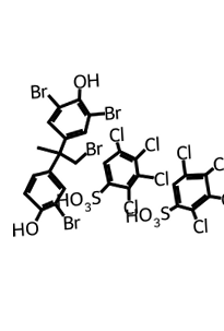 CC(CBr)(c1ccc(O)c(Br)c1)c1cc(Br)c(O)c(Br)c1.O=S(=O)(O)c1cc(Cl)c(Cl)c(Cl)c1Cl.O=S(=O)(O)c1cc(Cl)c(Cl)c(Cl)c1Cl